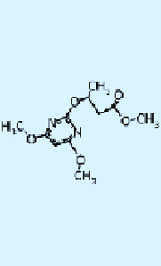 COC(=O)CC(C)Oc1nc(OC)cc(OC)n1